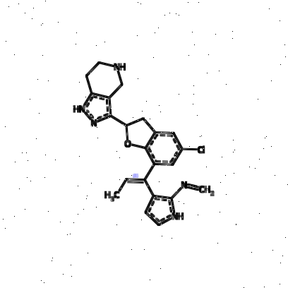 C=Nc1[nH]ccc1/C(=C\C)c1cc(Cl)cc2c1OC(c1n[nH]c3c1CNCC3)C2